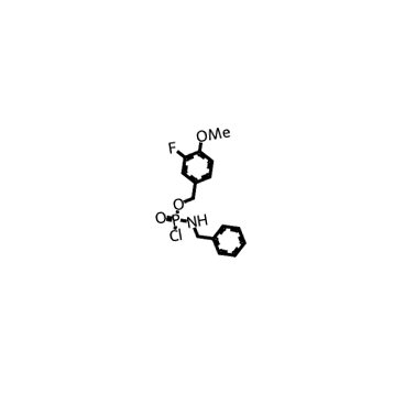 COc1ccc(COP(=O)(Cl)NCc2ccccc2)cc1F